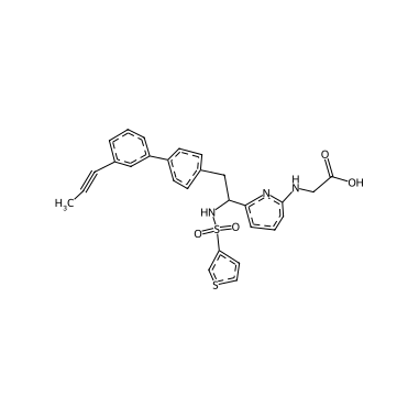 CC#Cc1cccc(-c2ccc(CC(NS(=O)(=O)c3ccsc3)c3cccc(NCC(=O)O)n3)cc2)c1